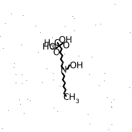 CCCCCCCCN(CCO)CCCCCCC(C)(C(=O)O)C(=O)O